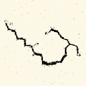 CC/C=C\CCC(CO)C/C=C\C/C=C\C=C\[C@@H](O)CCCCCC(=O)O